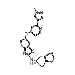 Cn1cc(-c2cc(Oc3ccc4nc(N[C@H]5CCc6ccccc6C5)sc4c3)ccn2)cn1